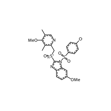 COc1ccc2nc([S@@+]([O-])Cc3ncc(C)c(OC)c3C)n(S(=O)(=O)c3ccc([O])cc3)c2c1